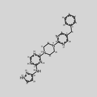 c1ccc(Cc2cnc(N3CCN(c4ncnc(Nc5cc[nH]n5)n4)CC3)nc2)cc1